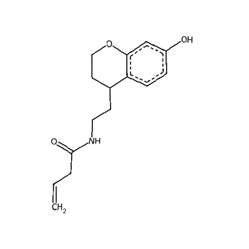 C=CCC(=O)NCCC1CCOc2cc(O)ccc21